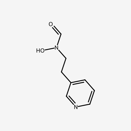 O=CN(O)CCc1cccnc1